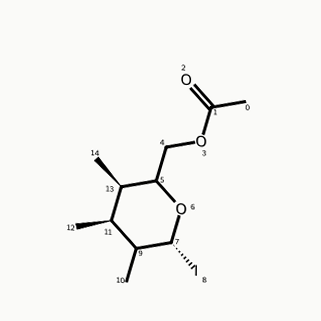 CC(=O)OCC1O[C@H](I)C(C)[C@@H](C)[C@H]1C